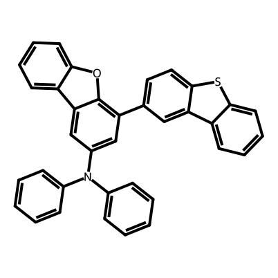 c1ccc(N(c2ccccc2)c2cc(-c3ccc4sc5ccccc5c4c3)c3oc4ccccc4c3c2)cc1